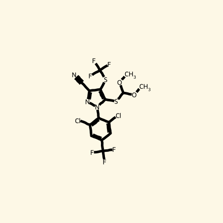 COC(OC)Sc1c(SC(F)(F)F)c(C#N)nn1-c1c(Cl)cc(C(F)(F)F)cc1Cl